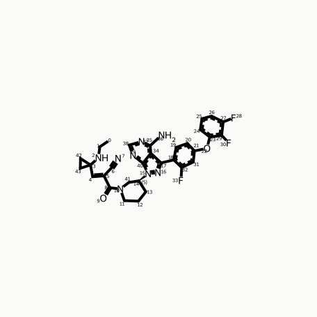 CCNC1(C=C(C#N)C(=O)N2CCC[C@H](n3nc(-c4ccc(Oc5cccc(F)c5F)cc4F)c4c(N)ncnc43)C2)CC1